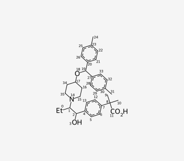 CCC(C(O)c1ccc(C(C)(C)C(=O)O)cc1)N1CCC(OC(c2ccc(C)cc2)c2ccc(C)cc2)CC1